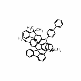 C=Cc1ccc2c(c1)C1(c3cc(C=C)ccc3-2)c2ccccc2-c2cccc(-c3cccc(N(c4ccc(-c5ccccc5)cc4)c4ccc5c(c4)C(C)(C)c4ccccc4-5)c3)c21